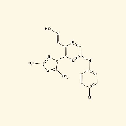 Cc1cc(C)n(-c2nc(Nc3ccc(Cl)cc3)cnc2C=NO)n1